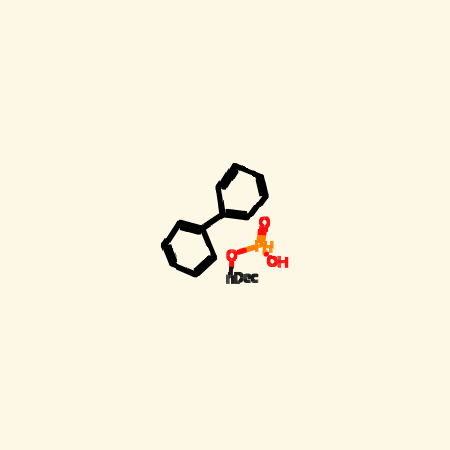 CCCCCCCCCCO[PH](=O)O.c1ccc(-c2ccccc2)cc1